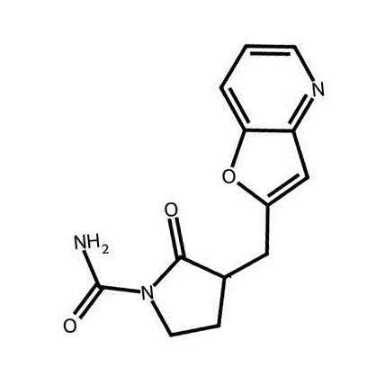 NC(=O)N1CC[C](Cc2cc3ncccc3o2)C1=O